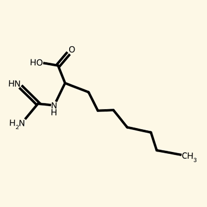 CCCCCCCC(NC(=N)N)C(=O)O